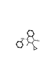 CC(=O)N1c2ccccc2[C@@H](Nc2ccccc2)[C@H](C)C1C1CC1